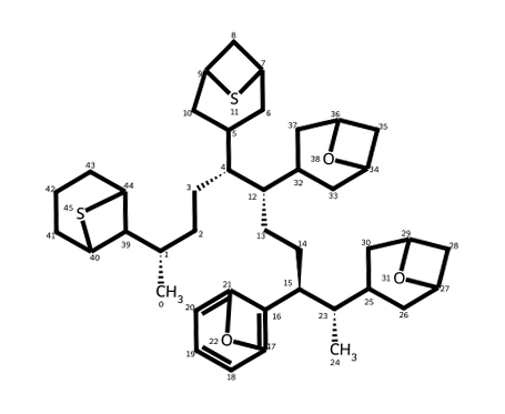 C[C@@H](CC[C@H](C1CC2CC(C1)S2)[C@@H](CC[C@H](c1c2cccc1O2)[C@@H](C)C1CC2CC(C1)O2)C1CC2CC(C1)O2)C1C2CCCC1S2